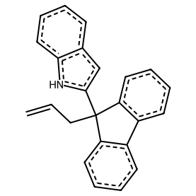 C=CCC1(c2cc3ccccc3[nH]2)c2ccccc2-c2ccccc21